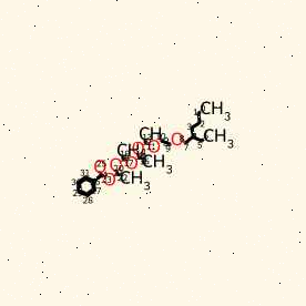 CCCCC(CC)COCCOC(C)OC(C)OC(C)OC(C)OC(=O)c1ccccc1